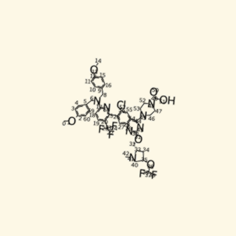 COc1ccc(CN(Cc2ccc(OC)cc2)c2ccc(C(F)(F)F)c(-c3cc4nc(OC[C@@H]5C[C@@H](OC(F)F)CN5C)nc(N5CCN(C(=O)O)CC5)c4cc3Cl)n2)cc1